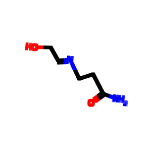 NC(=O)CCN=CCO